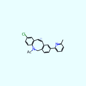 CC(=O)N1Cc2ccc(-c3cccc(C)n3)cc2/C=C\c2cc(Cl)ccc21